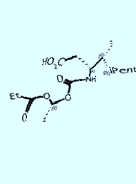 CCC[C@@H](C)[C@@H](C)[C@@H](CC(=O)O)NC(=O)O[C@H](C)OC(=O)CC